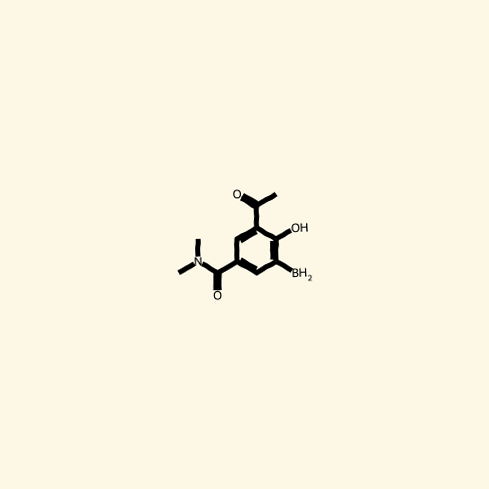 Bc1cc(C(=O)N(C)C)cc(C(C)=O)c1O